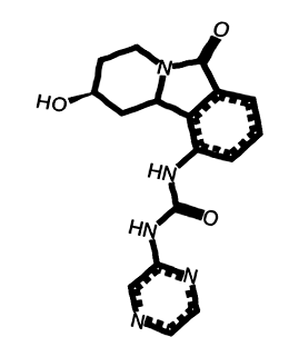 O=C(Nc1cnccn1)Nc1cccc2c1C1C[C@@H](O)CCN1C2=O